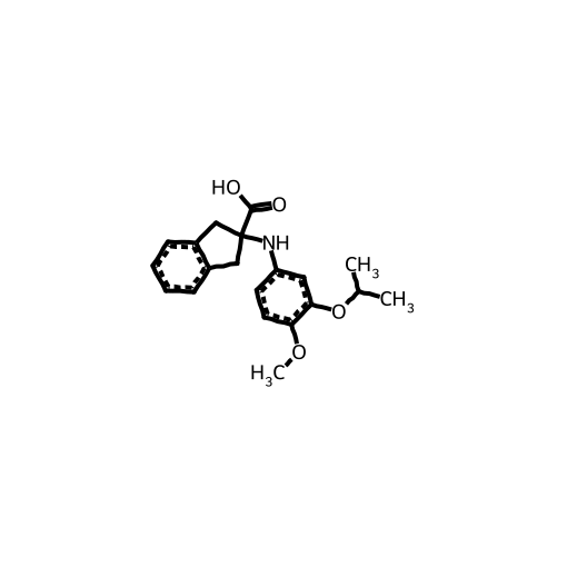 COc1ccc(NC2(C(=O)O)Cc3ccccc3C2)cc1OC(C)C